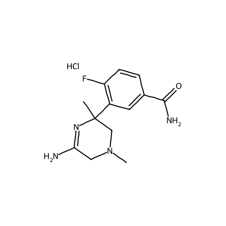 CN1CC(N)=NC(C)(c2cc(C(N)=O)ccc2F)C1.Cl